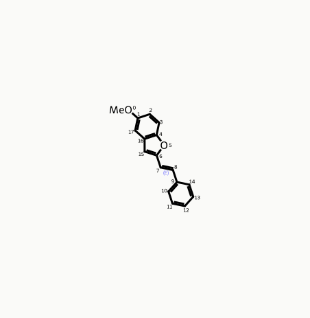 COc1ccc2oc(/C=C/c3ccccc3)cc2c1